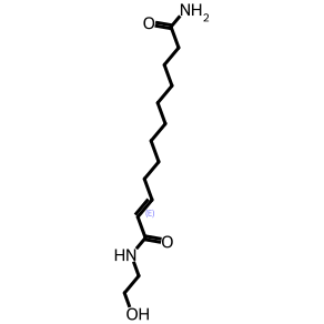 NC(=O)CCCCCCCC/C=C/C(=O)NCCO